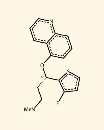 CNCC[C@H](Oc1cccc2ncccc12)c1sccc1F